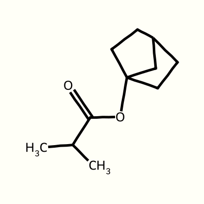 CC(C)C(=O)OC12CCC(CC1)C2